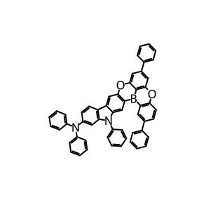 c1ccc(-c2cc3c4c(c2)Oc2cc5c6ccc(N(c7ccccc7)c7ccccc7)cc6n(-c6ccccc6)c5cc2B4c2cc(-c4ccccc4)ccc2O3)cc1